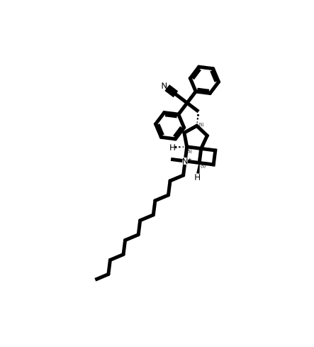 CCCCCCCCCCCC[N+]1(C)[C@H]2CCC23C[C@@H](CC(C#N)(c2ccccc2)c2ccccc2)C[C@@H]31